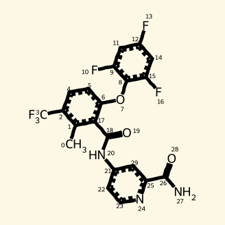 Cc1c(C(F)(F)F)ccc(Oc2c(F)cc(F)cc2F)c1C(=O)Nc1ccnc(C(N)=O)c1